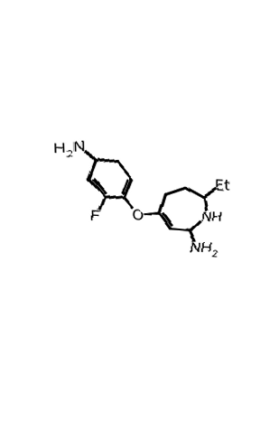 CCC1CCC(OC2=CCC(N)C=C2F)=CC(N)N1